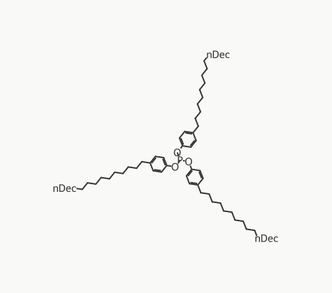 CCCCCCCCCCCCCCCCCCCCc1ccc(OP(Oc2ccc(CCCCCCCCCCCCCCCCCCCC)cc2)Oc2ccc(CCCCCCCCCCCCCCCCCCCC)cc2)cc1